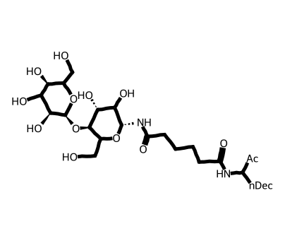 CCCCCCCCCCC(NC(=O)CCCCC(=O)N[C@@H]1OC(CO)[C@@H](O[C@@H]2OC(CO)[C@H](O)C(O)[C@@H]2O)[C@H](O)C1O)C(C)=O